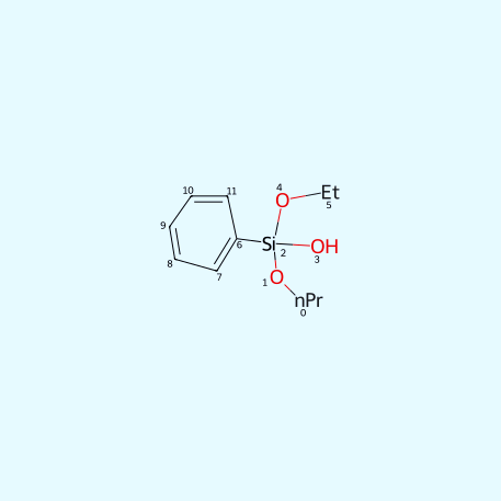 CCCO[Si](O)(OCC)c1ccccc1